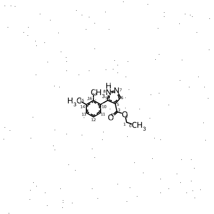 CCOC(=O)c1cn[nH]c1-c1cccc(C)c1C